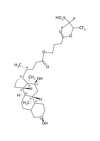 C[C@H](CCC(=O)OCCCC(=O)OC(C(F)(F)F)C(F)(F)S(=O)(=O)O)[C@H]1CC[C@H]2[C@@H]3CCC4C[C@H](O)CC[C@]4(C)[C@H]3C[C@H](O)[C@]12C